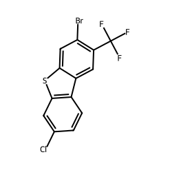 FC(F)(F)c1cc2c(cc1Br)sc1cc(Cl)ccc12